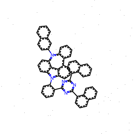 c1ccc(-n2c3cccc4c5ccccc5n(-c5ccc6ccccc6c5)c5cccc2c5c43)c(-c2nc(-c3cccc4ccccc34)nc(-c3cccc4ccccc34)n2)c1